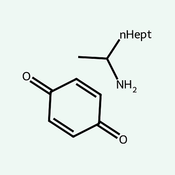 CCCCCCCC(C)N.O=C1C=CC(=O)C=C1